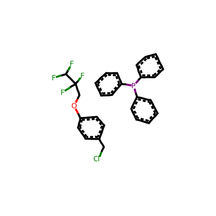 FC(F)C(F)(F)COc1ccc(CCl)cc1.c1ccc(P(c2ccccc2)c2ccccc2)cc1